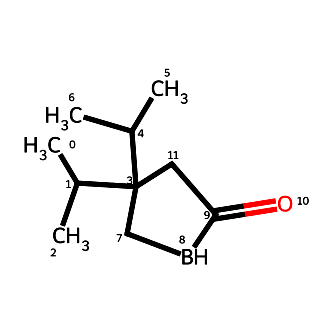 CC(C)C1(C(C)C)CBC(=O)C1